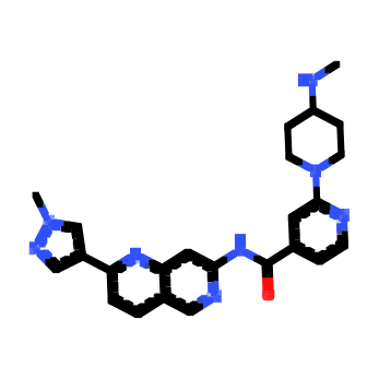 CNC1CCN(c2cc(C(=O)Nc3cc4nc(-c5cnn(C)c5)ccc4cn3)ccn2)CC1